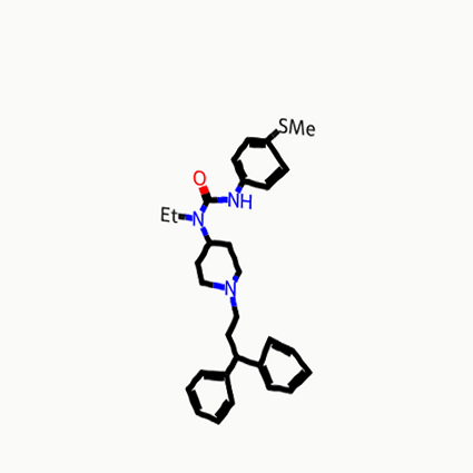 CCN(C(=O)Nc1ccc(SC)cc1)C1CCN(CCC(c2ccccc2)c2ccccc2)CC1